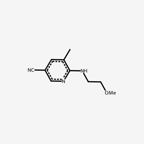 COCCNc1ncc(C#N)cc1C